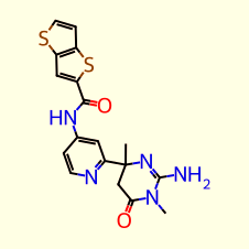 CN1C(=O)CC(C)(c2cc(NC(=O)c3cc4sccc4s3)ccn2)N=C1N